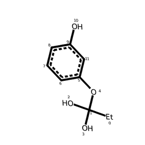 CCC(O)(O)Oc1cccc(O)c1